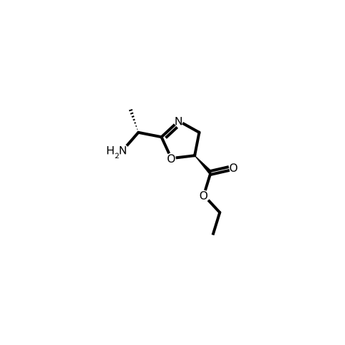 CCOC(=O)[C@@H]1CN=C([C@@H](C)N)O1